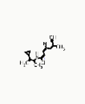 C#CC(C)C/C(N)=C\C=C(\Cl)NC(C)C(=C)C1CC1